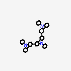 C1=C(c2ccc3c(c2)c2cc(-c4ccc5c(c4)c4ccccc4n5-c4ccccc4)ccc2n3-c2ccccc2)CCc2c1c1ccccc1n2-c1ccccc1